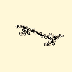 CC(C)(C)OC(=O)C[C@H](NCCOCCOCCOCCN[C@@H](CC(=O)OC(C)(C)C)C(=O)OC(C)(C)C)C(=O)OC(C)(C)C